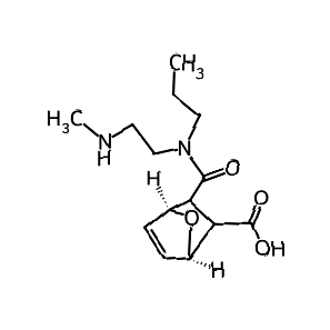 CCCN(CCNC)C(=O)C1C(C(=O)O)[C@H]2C=C[C@@H]1O2